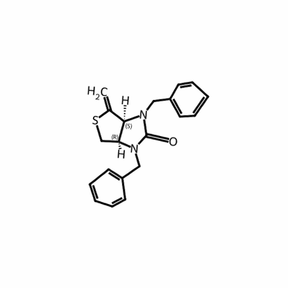 C=C1SC[C@H]2[C@@H]1N(Cc1ccccc1)C(=O)N2Cc1ccccc1